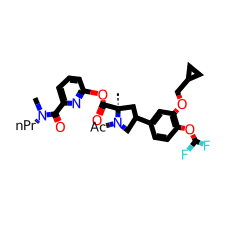 CCCN(C)C(=O)c1cccc(OC(=O)[C@@]2(C)CC(c3ccc(OC(F)F)c(OCC4CC4)c3)CN2C(C)=O)n1